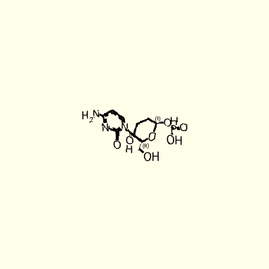 Nc1ccn([C@@]2(O)CC[C@@H](O[PH](=O)O)O[C@@H]2CO)c(=O)n1